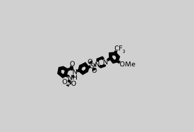 COc1cc(N2CCN(S(=O)(=O)c3ccc(NC(=O)c4ccccc4N(C)S(C)(=O)=O)cc3)CC2)cc(C(F)(F)F)c1